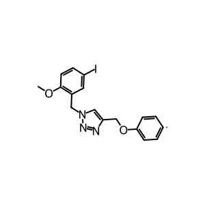 COc1ccc(I)cc1Cn1cc(COc2cc[c]cc2)nn1